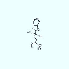 CCOC(CCC(C#N)(CC)C1Oc2ccccc2O1)OCC